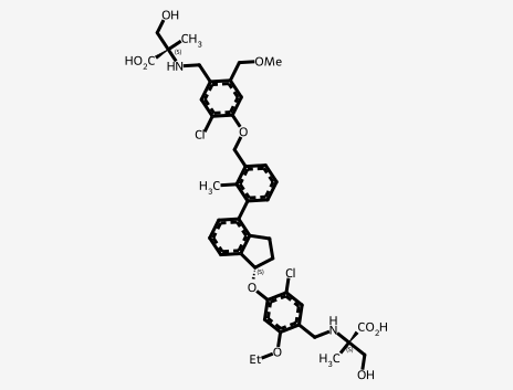 CCOc1cc(O[C@H]2CCc3c(-c4cccc(COc5cc(COC)c(CN[C@@](C)(CO)C(=O)O)cc5Cl)c4C)cccc32)c(Cl)cc1CN[C@@](C)(CO)C(=O)O